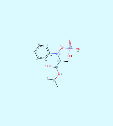 CC(C)OC(=O)[C@H](C)N(OP(=O)(O)O)c1ccccc1